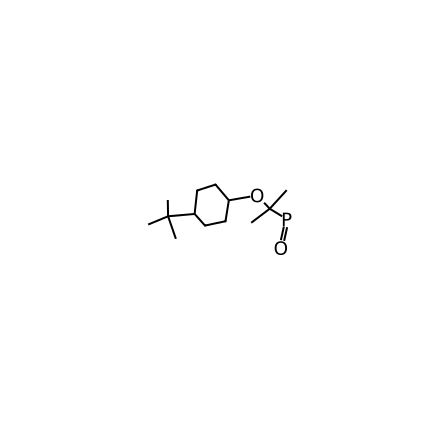 CC(C)(OC1CCC(C(C)(C)C)CC1)P=O